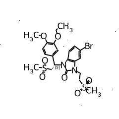 CCOc1cc([C@@H](CS(C)(=O)=O)n2c(=O)n(CCS(C)(=O)=O)c3cc(Br)ccc32)ccc1OC